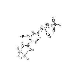 CC1(C)OB(c2ccc(NC(=O)NS(C)(=O)=O)cc2F)OC1(C)C